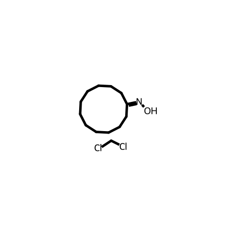 ClCCl.ON=C1CCCCCCCCCCC1